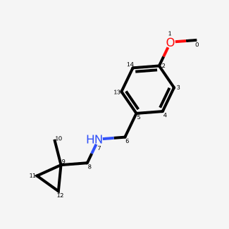 COc1ccc(CNCC2(C)CC2)cc1